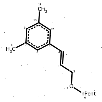 [CH2]CCCCOCC=Cc1cc(C)cc(C)c1